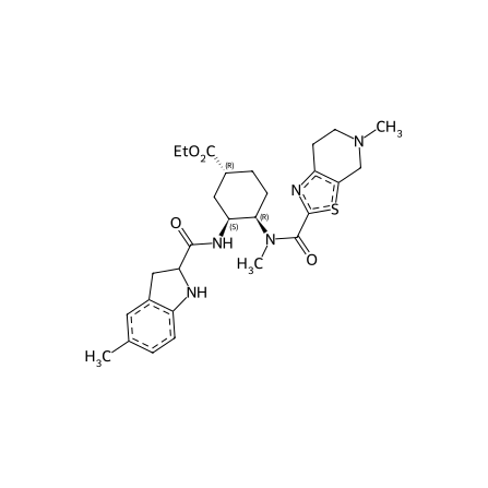 CCOC(=O)[C@@H]1CC[C@@H](N(C)C(=O)c2nc3c(s2)CN(C)CC3)[C@@H](NC(=O)C2Cc3cc(C)ccc3N2)C1